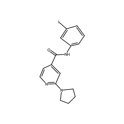 O=C(Nc1cccc(I)c1)c1ccnc(N2CCCC2)c1